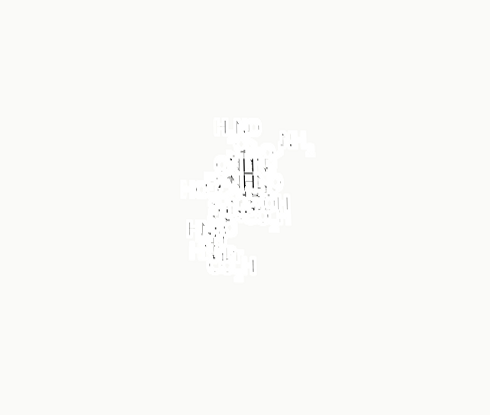 CC(C)[C@H](N)C(=O)N[C@@H](C)C(=O)N[C@@H](CCC(N)=O)C(=O)N[C@@H](CCCCN)C(=O)N[C@H](C(=O)N[C@@H](CCC(=O)O)C(=O)N[C@@H](CC(=O)O)C(=O)N1CCC[C@H]1C(=O)N[C@@H](C)C(=O)N[C@H](C(=O)O)C(C)C)[C@@H](C)O